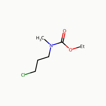 CCOC(=O)N(C)CCCCl